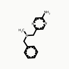 CN(Cc1ccccc1)Cc1cnc(N)cn1